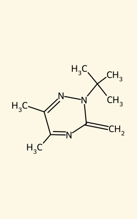 C=C1N=C(C)C(C)=NN1C(C)(C)C